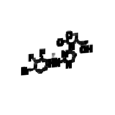 C[C@H](Nc1nccc(N2C(=O)OCC2[C@@H](C)O)n1)c1ccc(Br)c(F)c1F